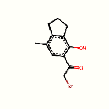 Cc1cc(C(=O)CBr)c(O)c2c1CCC2